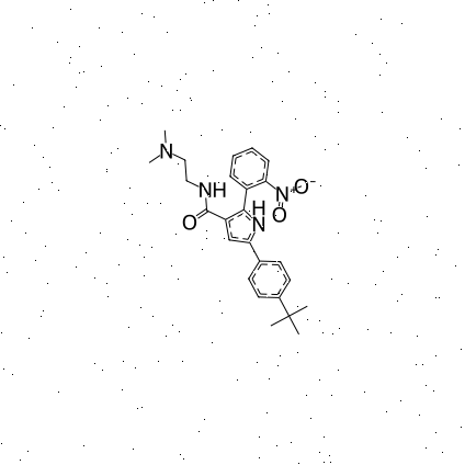 CN(C)CCNC(=O)c1cc(-c2ccc(C(C)(C)C)cc2)[nH]c1-c1ccccc1[N+](=O)[O-]